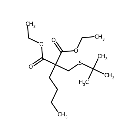 CCCCC(CSC(C)(C)C)(C(=O)OCC)C(=O)OCC